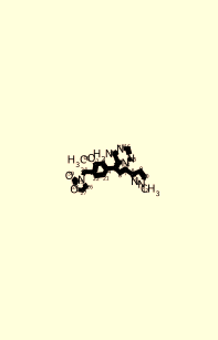 COc1cc(-c2cc(-c3ccn(C)n3)n3ncnc(N)c23)ccc1CN1CCOC1=O